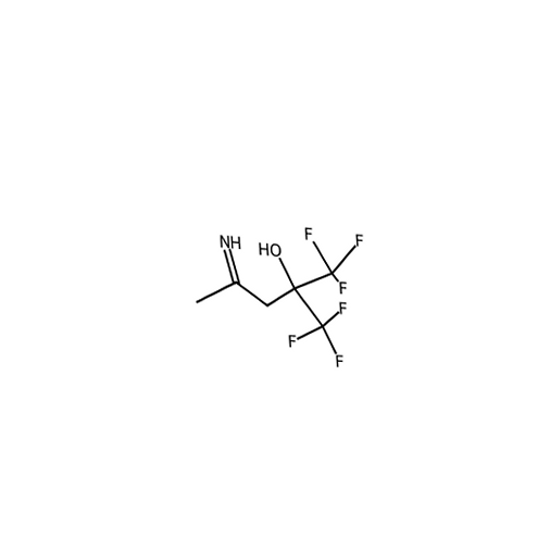 CC(=N)CC(O)(C(F)(F)F)C(F)(F)F